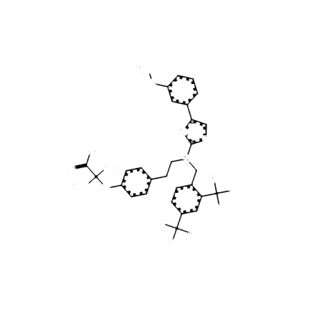 COc1cccc(-c2csc(N(CCc3ccc(OC(C)(C)C(=O)O)cc3)Cc3ccc(C(F)(F)F)cc3C(F)(F)F)n2)c1